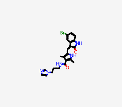 Cc1[nH]c(/C=C2\C(=O)Nc3ccc(Br)cc32)c(C)c1C(=O)NCCCn1ccnc1